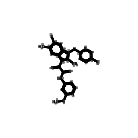 COc1cc(NC(=O)C(=O)c2c(C)n(Cc3ccc(Cl)cn3)c3cc(F)c(C)cc23)ccn1